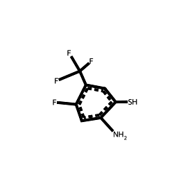 Nc1cc(F)c(C(F)(F)F)cc1S